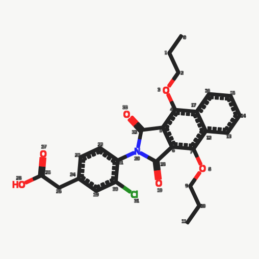 CCCOc1c2c(c(OCCC)c3ccccc13)C(=O)N(c1ccc(CC(=O)O)cc1Cl)C2=O